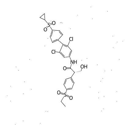 CCS(=O)(=O)c1ccc([C@@H](CO)C(=O)Nc2cc(Cl)c(-c3ccc(S(=O)(=O)C4CC4)cc3)c(Cl)c2)cc1